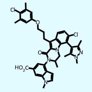 Cc1cc(OCCCc2c3n(c4c(-c5c(C)nn(C)c5C)c(Cl)ccc24)CC(C)N(c2cc(C(=O)O)cc4c2ccn4C)C3=O)cc(C)c1Cl